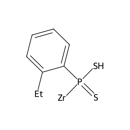 CCc1ccccc1[P](=S)(S)[Zr]